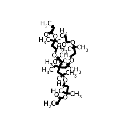 C=CC(=O)OC(C)(C)CCOC(C)(C)CC(CC)(CC(C)(C)OCCC(C)(C)OC(=O)C=C)CC(C)(C)OCCC(C)(C)OC(=O)C=C